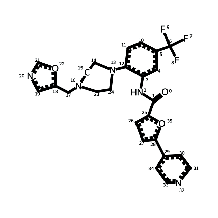 O=C(Nc1cc(C(F)(F)F)ccc1N1CCN(Cc2cnco2)CC1)c1ccc(-c2ccncc2)o1